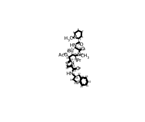 CCC(C)[C@H](NC(=O)[C@H]1CCCCN1C)C(=O)N(C)[C@H](C[C@@H](OC(C)=O)c1nc(C(=O)N[C@@H](Cc2ccccc2)CC(C)C)cs1)C(C)C